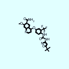 COc1cc2nccc(Oc3ccc(NC(=O)Nc4cc(C(C)(C)C)on4)c(C(F)(F)F)c3)c2cc1C(N)=O